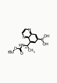 C[C@@H](NC(=O)OC(C)(C)C)c1cc(B(O)O)cc2nccnc12